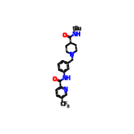 CC(C)(C)NC(=O)C1CCN(Cc2cccc(NC(=O)c3ccc(C(F)(F)F)cn3)c2)CC1